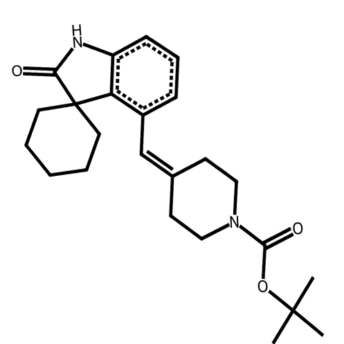 CC(C)(C)OC(=O)N1CCC(=Cc2cccc3c2C2(CCCCC2)C(=O)N3)CC1